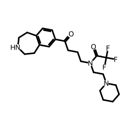 O=C(CCCN(CCN1CCCCC1)C(=O)C(F)(F)F)c1ccc2c(c1)CCNCC2